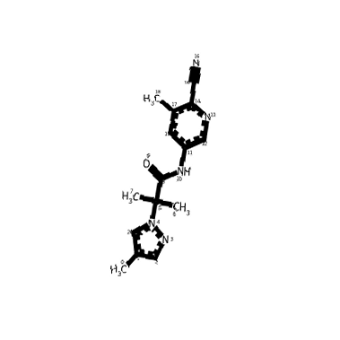 Cc1cnn(C(C)(C)C(=O)Nc2cnc(C#N)c(C)c2)c1